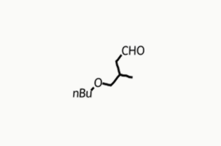 CCCCOCC(C)CC=O